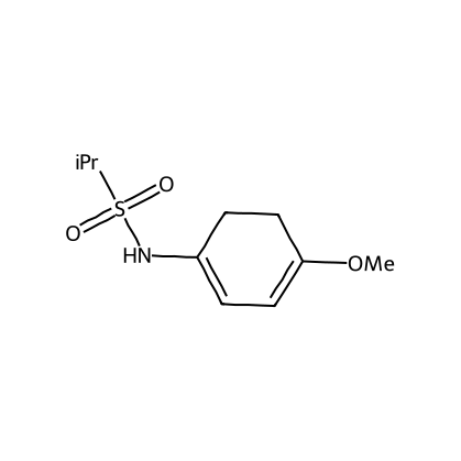 COC1=CC=C(NS(=O)(=O)C(C)C)CC1